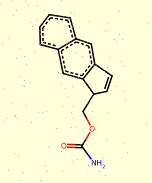 NC(=O)OCC1C=Cc2cc3ccccc3cc21